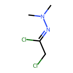 CN(C)N=C(Cl)CCl